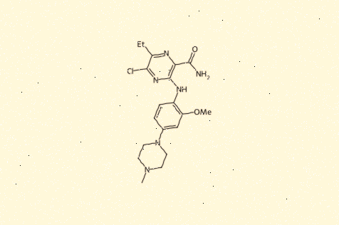 CCc1nc(C(N)=O)c(Nc2ccc(N3CCN(C)CC3)cc2OC)nc1Cl